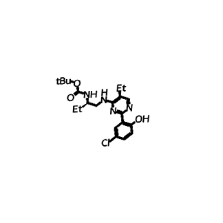 CCc1cnc(-c2cc(Cl)ccc2O)nc1NC[C@@H](CC)NC(=O)OC(C)(C)C